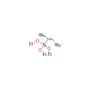 CCO[Si](OCC)(OCC)/C(=C\C(C)(C)C)C(C)(C)C